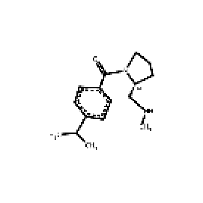 CNC[C@@H]1CCCN1C(=O)c1ccc(C(C)C)cc1